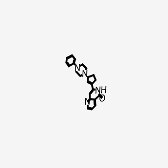 O=c1[nH]c(C2=C[C@H](N3CCN(c4ccccc4)CC3)CC2)cc2ncccc12